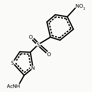 CC(=O)Nc1nc(S(=O)(=O)c2ccc([N+](=O)[O-])cc2)cs1